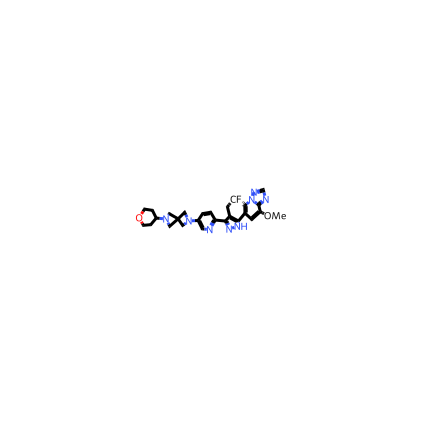 COc1cc(-c2[nH]nc(-c3ccc(N4CC5(C4)CN(C4CCOCC4)C5)cn3)c2CC(F)(F)F)cn2ncnc12